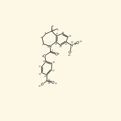 CC1(C)CCCN(C(=O)Oc2ccc([N+](=O)[O-])cc2)c2cc([N+](=O)[O-])ccc21